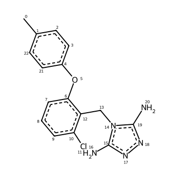 Cc1ccc(Oc2cccc(Cl)c2Cn2c(N)nnc2N)cc1